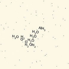 O.O.O.O.O.O.O.[AlH3]